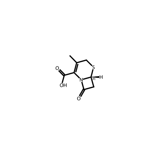 CC1=C(C(=O)O)N2C(=O)C[C@H]2SC1